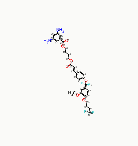 COc1cc(C(F)(F)Oc2ccc(C=CC(=O)OCCCCOC(=O)c3cc(N)cc(N)c3)cc2)ccc1OCCCC(F)(F)F